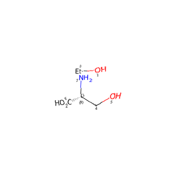 CCO.N[C@H](CO)C(=O)O